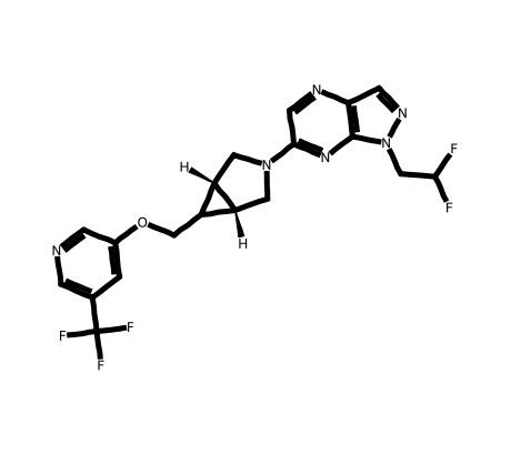 FC(F)Cn1ncc2ncc(N3C[C@@H]4C(COc5cncc(C(F)(F)F)c5)[C@@H]4C3)nc21